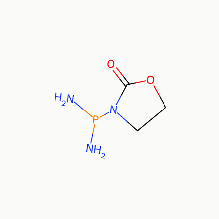 NP(N)N1CCOC1=O